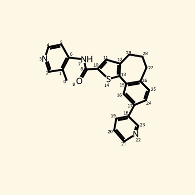 Cc1cnccc1NC(=O)c1cc2c(s1)-c1cc(-c3cccnc3)ccc1CCC2